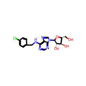 OC[C@H]1OC(n2cnc3c(NCc4ccc(Cl)cc4)ncnc32)[C@@H](O)[C@@H]1O